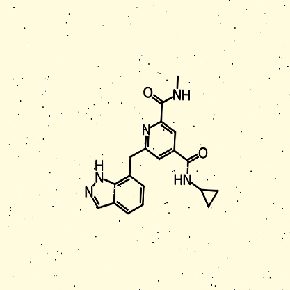 CNC(=O)c1cc(C(=O)NC2CC2)cc(Cc2cccc3cn[nH]c23)n1